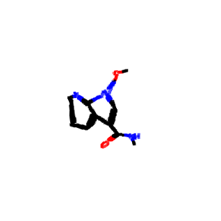 CNC(=O)c1cn(OC)c2ncccc12